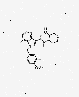 COc1ccc(Cn2cc(C(=O)NC3CCOC[C@@H]3O)c3nccc(C)c32)cc1F